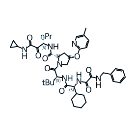 CCC[C@H](NC(=O)[C@@H]1C[C@@H](Oc2ccc(C)cn2)CN1C(=O)[C@@H](NC(=O)[C@@H](NC(=O)C(=O)NCc1ccccc1)C1CCCCC1)C(C)(C)C)C(=O)C(=O)NC1CC1